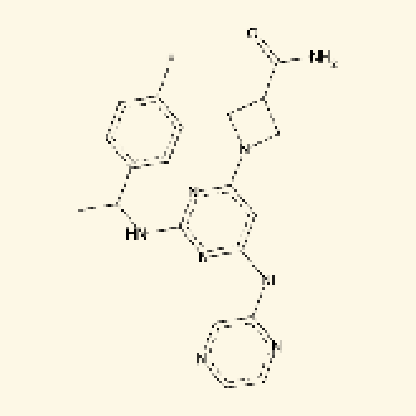 CC(Nc1nc(Nc2cnccn2)cc(N2CC(C(N)=O)C2)n1)c1ccc(F)cc1